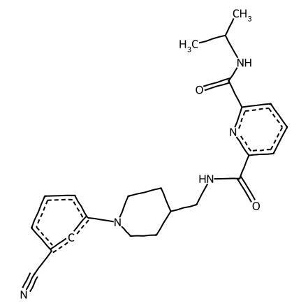 CC(C)NC(=O)c1cccc(C(=O)NCC2CCN(c3cccc(C#N)c3)CC2)n1